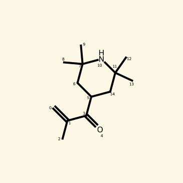 C=C(C)C(=O)C1CC(C)(C)NC(C)(C)C1